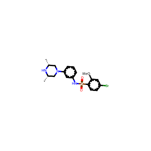 COc1cc(Br)ccc1S(=O)(=O)Nc1cccc(N2C[C@@H](C)N[C@@H](C)C2)c1